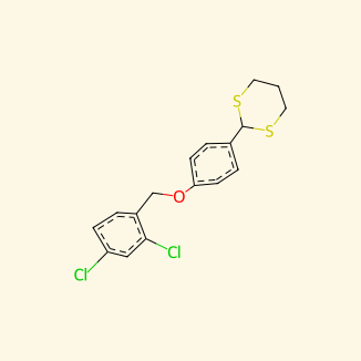 Clc1ccc(COc2ccc(C3SCCCS3)cc2)c(Cl)c1